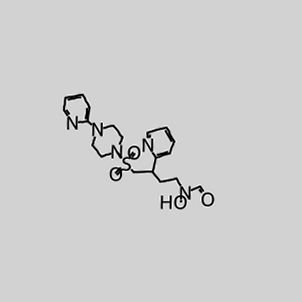 O=CN(O)CCC(CS(=O)(=O)N1CCN(c2ccccn2)CC1)c1ccccn1